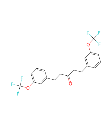 O=C(CCc1cccc(OC(F)(F)F)c1)CCc1cccc(OC(F)(F)F)c1